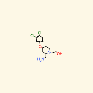 NCC1CC(Oc2ccc(Cl)c(Cl)c2)CCN1CCO